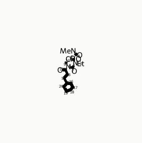 CCN(OC(=O)NC)C(=O)N(C[C]=O)C(=O)/C=C/c1ccccc1